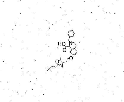 Cc1oc(C=CC(C)(C)C)nc1CCOc1ccc2c(c1)C(C(=O)O)N(Cc1ccccc1)CC2